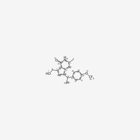 Cc1nc2c(c(CO)nn2C(c2ccc(OC(F)(F)F)cc2)C(C)C)c(=O)[nH]1